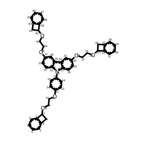 c1ccc2c(c1)CC2OCCOc1ccc(-n2c3ccc(OCCOC4Cc5ccccc54)cc3c3cc(OCCOC4Cc5ccccc54)ccc32)cc1